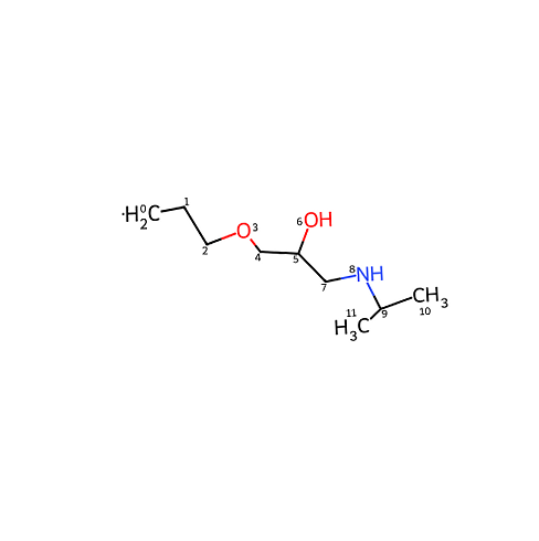 [CH2]CCOCC(O)CNC(C)C